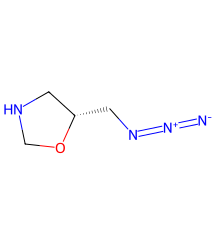 [N-]=[N+]=NC[C@H]1CNCO1